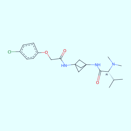 CC(C)[C@H](C(=O)NC12CC(NC(=O)COc3ccc(Cl)cc3)(C1)C2)N(C)C